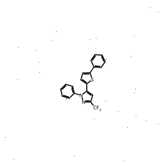 FC(F)(F)c1cc(-c2ccc(-c3ccccc3)s2)n(-c2ccccc2)n1